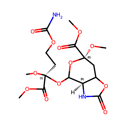 COC(=O)[C@@](CCOC(N)=O)(OC)OC1O[C@@](OC)(C(=O)OC)CC2OC(=O)N[C@H]21